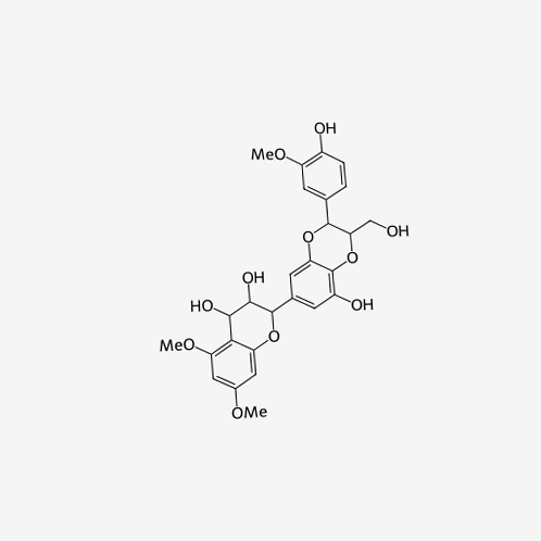 COc1cc(OC)c2c(c1)OC(c1cc(O)c3c(c1)OC(c1ccc(O)c(OC)c1)C(CO)O3)C(O)C2O